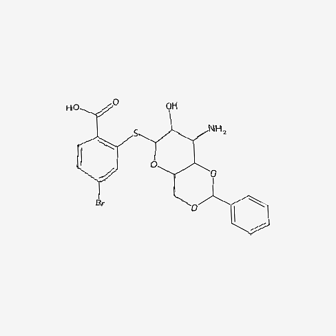 NC1C(O)C(Sc2cc(Br)ccc2C(=O)O)OC2COC(c3ccccc3)OC21